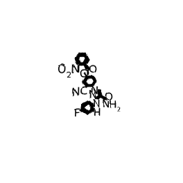 N#C[C@H]1C[C@@H](OC(=O)c2ccccc2[N+](=O)[O-])CCC1n1cc(C(N)=O)c(Nc2ccc(F)cc2)n1